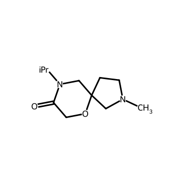 CC(C)N1CC2(CCN(C)C2)OCC1=O